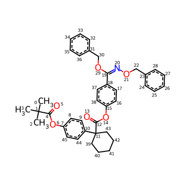 CC(C)(C)C(=O)Oc1ccc(C2(C(=O)Oc3ccc(/C(=N\OCc4ccccc4)OCc4ccccc4)cc3)CCCCC2)cc1